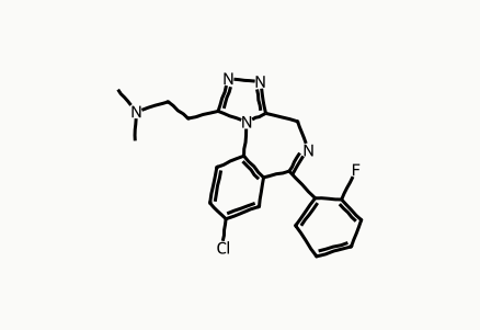 CN(C)CCc1nnc2n1-c1ccc(Cl)cc1C(c1ccccc1F)=NC2